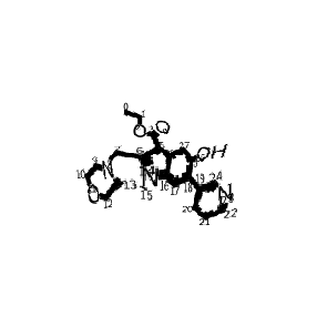 CCOC(=O)c1c(CN2CCOCC2)n(C)c2cc(-c3cccnc3)c(O)cc12